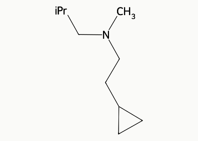 CC(C)CN(C)CCC1CC1